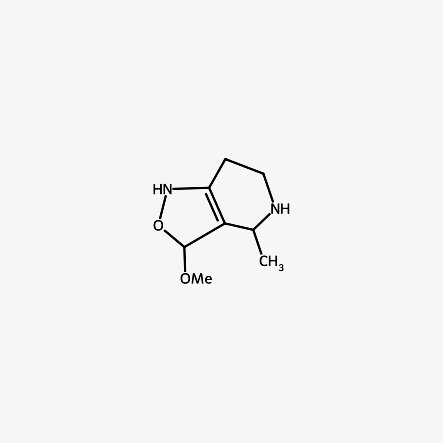 COC1ONC2=C1C(C)NCC2